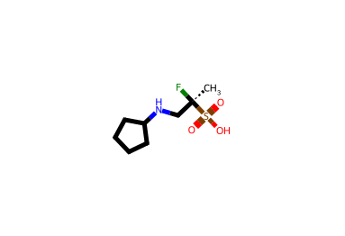 C[C@@](F)(CNC1CCCC1)S(=O)(=O)O